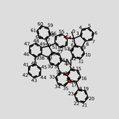 CC1(C)c2ccccc2-c2ccc(N(c3ccc(-c4ccccc4)cc3)c3cc4c(cc3-c3ccccc3)-c3c(-c5ccccc5)cccc3C4(c3ccccc3)c3ccccc3)cc21